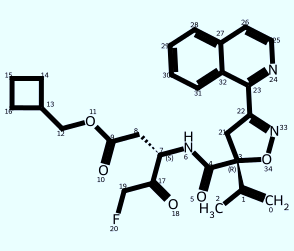 C=C(C)[C@@]1(C(=O)N[C@@H](CC(=O)OCC2CCC2)C(=O)CF)CC(c2nccc3ccccc23)=NO1